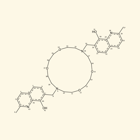 Cc1ccc2ccc(CN3CCOCCOCCN(Cc4ccc5ccc(C)nc5c4O)CCOCCOCC3)c(O)c2n1